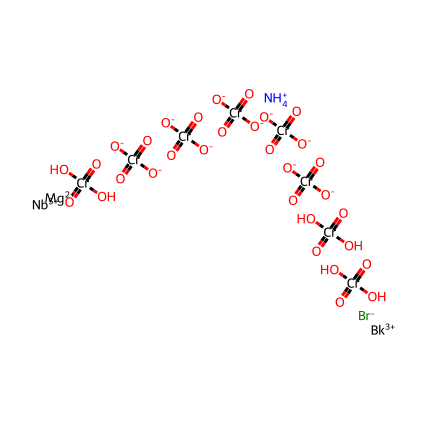 [Bk+3].[Br-].[Mg+2].[NH4+].[Nb+5].[O]=[Cr](=[O])([O-])[O-].[O]=[Cr](=[O])([O-])[O-].[O]=[Cr](=[O])([O-])[O-].[O]=[Cr](=[O])([O-])[O-].[O]=[Cr](=[O])([O-])[O-].[O]=[Cr](=[O])([OH])[OH].[O]=[Cr](=[O])([OH])[OH].[O]=[Cr](=[O])([OH])[OH]